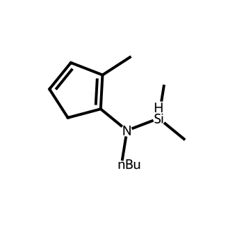 CCCCN(C1=C(C)C=CC1)[SiH](C)C